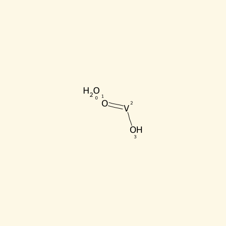 O.[O]=[V][OH]